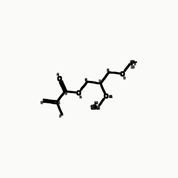 C=C(C)C(=O)OCC(COC(C)C)OC(C)(C)C